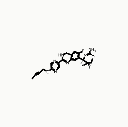 CC#CCOc1cnc(C2=Nc3cc([C@@]4(C)N=C(N)OCC4(F)F)c(F)cc3CN2)cn1